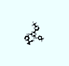 N#CC1(c2cc(Nc3nc(N[C@H]4CCC(F)(F)C4)nc(-c4ccnc(C(F)(F)F)n4)n3)ccn2)CC1